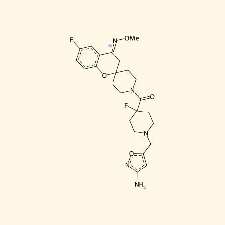 CO/N=C1\CC2(CCN(C(=O)C3(F)CCN(Cc4cc(N)no4)CC3)CC2)Oc2ccc(F)cc21